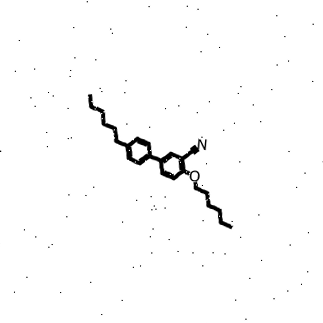 CCCCCCOc1ccc(-c2ccc(CCCCCC)cc2)cc1C#N